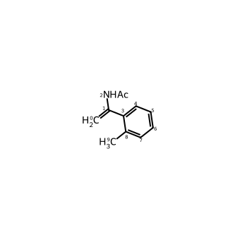 C=C(NC(C)=O)c1ccccc1C